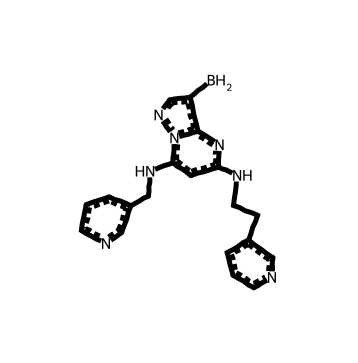 Bc1cnn2c(NCc3cccnc3)cc(NCCc3cccnc3)nc12